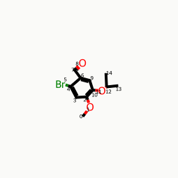 COc1cc(Br)c(C=O)cc1OC(C)C